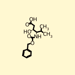 CC(C)[C@H](NC(=O)OCc1ccccc1)[C@H](O)CC(=O)O